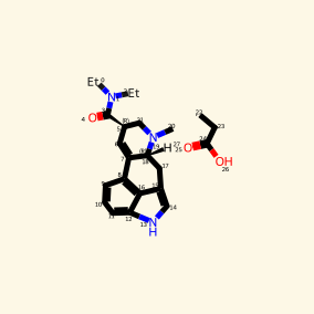 CCN(CC)C(=O)[C@@H]1C=C2c3cccc4[nH]cc(c34)C[C@H]2N(C)C1.[CH2]CC(=O)O